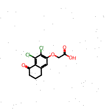 O=C(O)COc1cc2c(c(Cl)c1Cl)C(=O)CCC2